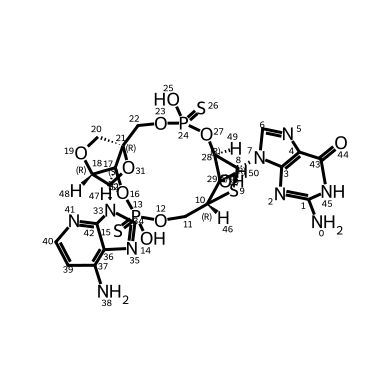 Nc1nc2c(ncn2[C@@H]2S[C@@H]3COP(O)(=S)O[C@H]4[C@H]5OC[C@]4(COP(O)(=S)O[C@@H]2[C@@H]3O)O[C@@H]5n2cnc3c(N)ccnc32)c(=O)[nH]1